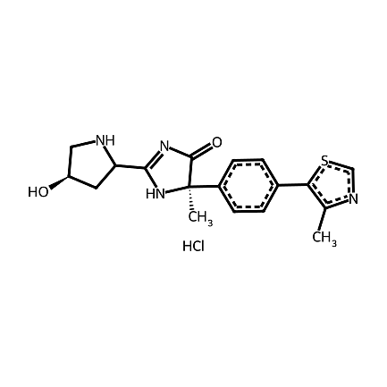 Cc1ncsc1-c1ccc([C@@]2(C)NC(C3C[C@@H](O)CN3)=NC2=O)cc1.Cl